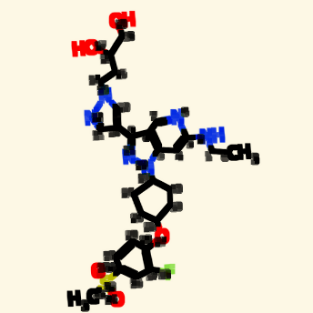 CCNc1cc2c(cn1)c(-c1cnn(CC[C@@H](O)CO)c1)nn2C1CCC(Oc2ccc(S(C)(=O)=O)cc2F)CC1